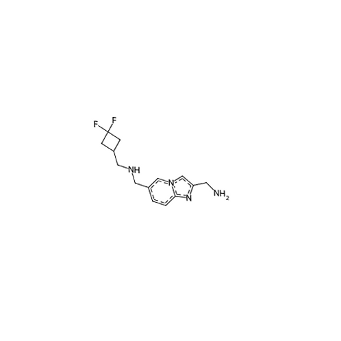 NCc1cn2cc(CNCC3CC(F)(F)C3)ccc2n1